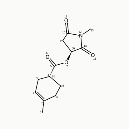 CC1=CC[C@H](C(=O)O[C@H]2CC(=O)N(C)C2=O)CC1